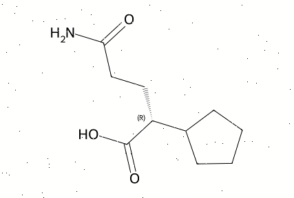 NC(=O)CC[C@@H](C(=O)O)C1CCCC1